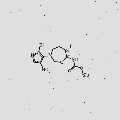 Cn1ncc([N+](=O)[O-])c1[C@@H]1CC[C@H](F)[C@H](NC(=O)OC(C)(C)C)OC1